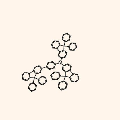 c1ccc(C2(c3ccccc3)c3ccccc3-c3cc(N(c4ccc(-c5ccc6c(c5)C(c5ccccc5)(c5ccccc5)c5ccccc5-6)cc4)c4ccc5c(c4)C(c4ccccc4)(c4ccccc4)c4ccccc4-5)ccc32)cc1